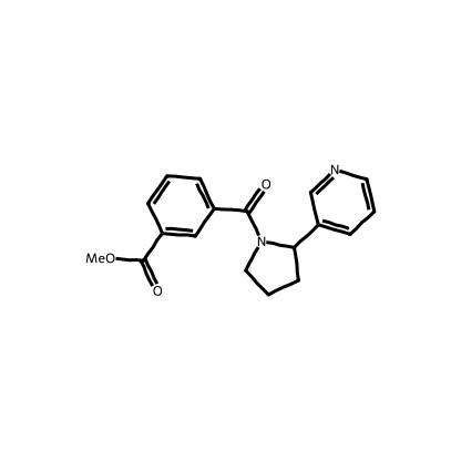 COC(=O)c1cccc(C(=O)N2CCCC2c2cccnc2)c1